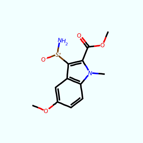 COC(=O)c1c([S+](N)[O-])c2cc(OC)ccc2n1C